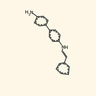 Nc1ccc(-c2ccc(NC=Cc3ccccc3)cc2)cc1